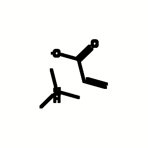 C=CC([O])=O.C[SiH](C)C